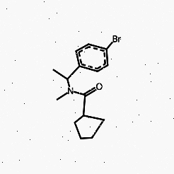 CC(c1ccc(Br)cc1)N(C)C(=O)C1CCCC1